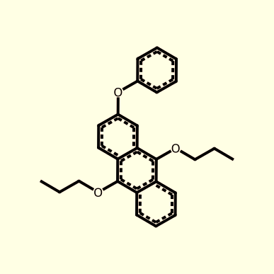 CCCOc1c2ccccc2c(OCCC)c2cc(Oc3ccccc3)ccc12